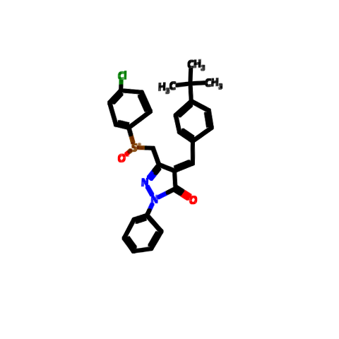 CC(C)(C)c1ccc(C=C2C(=O)N(c3ccccc3)N=C2C[S+]([O-])c2ccc(Cl)cc2)cc1